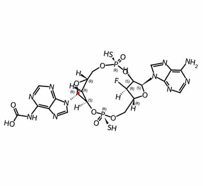 Nc1ncnc2c1ncn2[C@H]1O[C@@H]2CO[P@@](=O)(S)O[C@@H]3[C@H](F)[C@@H](CO[P@@](=O)(S)O[C@@H]1[C@@H]2F)O[C@H]3n1cnc2c(NC(=O)O)ncnc21